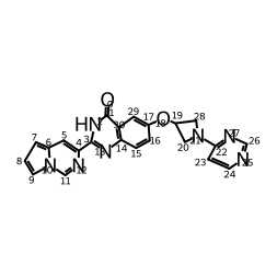 O=c1[nH]c(-c2cc3cccn3cn2)nc2ccc(OC3CN(c4ccncn4)C3)cc12